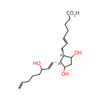 C=CCCCC(O)C=C[C@H]1C(O)CC(O)[C@@H]1CC=CCCCC(=O)O